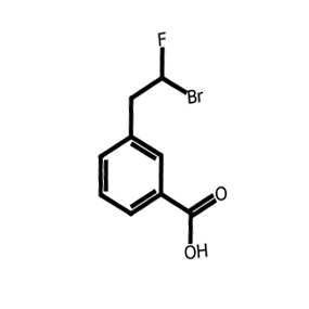 O=C(O)c1cccc(CC(F)Br)c1